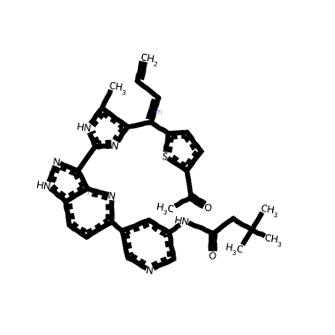 C=C/C=C(/c1ccc(C(C)=O)s1)c1nc(-c2n[nH]c3ccc(-c4cncc(NC(=O)CC(C)(C)C)c4)nc23)[nH]c1C